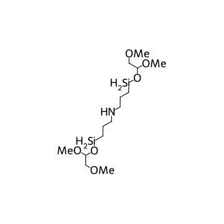 COCC(OC)O[SiH2]CCCNCCC[SiH2]OC(COC)OC